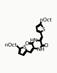 CCCCCCCCc1ccc(C=c2[nH]c(=O)c(=Cc3ccc(CCCCCCCC)s3)[nH]c2=O)s1